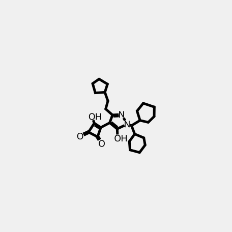 O=c1c(O)c(-c2c(CCC3CCCC3)nn(C(C3CCCCC3)C3CCCCC3)c2O)c1=O